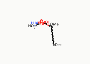 CCCCCCCCCCCCCCCCCCCCCCC(COC[C@@H](O)COP(=O)(O)OC[C@H](N)C(=O)O)OC